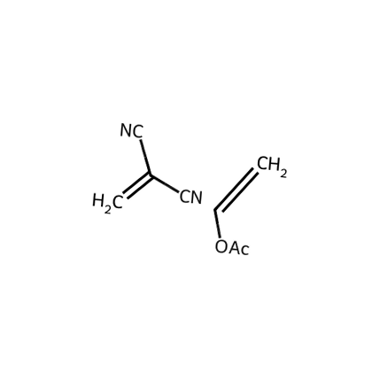 C=C(C#N)C#N.C=COC(C)=O